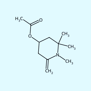 C=C1CC(OC(C)=O)CC(C)(C)N1C